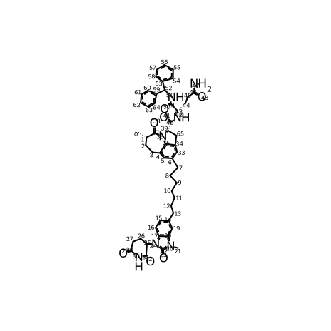 C[C@H]1CCc2cc(CCCCCCCc3ccc4c(c3)n(C)c(=O)n4C3CCC(=O)NC3=O)cc3c2N(C1=O)[C@H](C(=O)N[C@@H](CCC(N)=O)C(=O)NC(c1ccccc1)c1ccccc1)C3